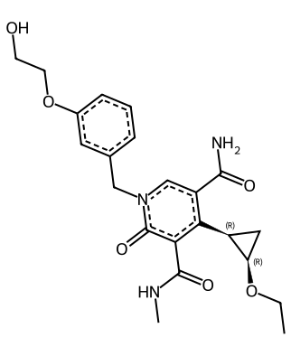 CCO[C@@H]1C[C@@H]1c1c(C(N)=O)cn(Cc2cccc(OCCO)c2)c(=O)c1C(=O)NC